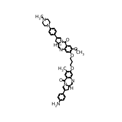 COc1cc2c(cc1OCCCOc1cc3c(cc1C)C(=O)N1C=C(c4ccc(N)cc4)C[C@H]1C=N3)N=C[C@@H]1CC(c3ccc(N4CCN(C)CC4)cc3)=CN1C2=O